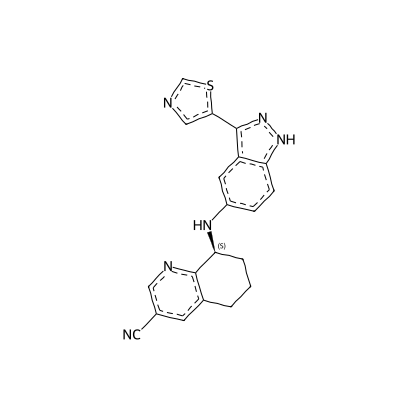 N#Cc1cnc2c(c1)CCC[C@@H]2Nc1ccc2[nH]nc(-c3cncs3)c2c1